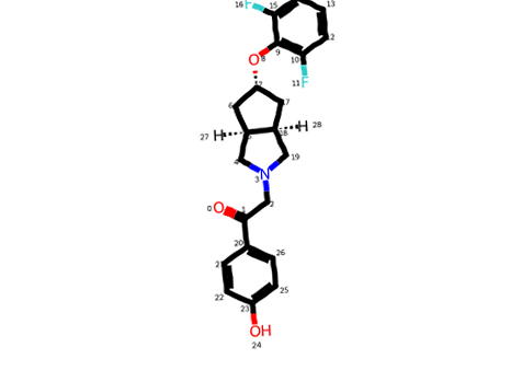 O=C(CN1C[C@H]2C[C@H](Oc3c(F)cccc3F)C[C@H]2C1)c1ccc(O)cc1